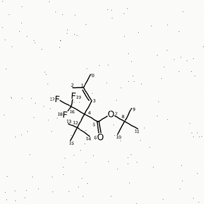 CC(C)=CC(C(=O)OC(C)(C)C)(C(C)(C)C)C(F)(F)F